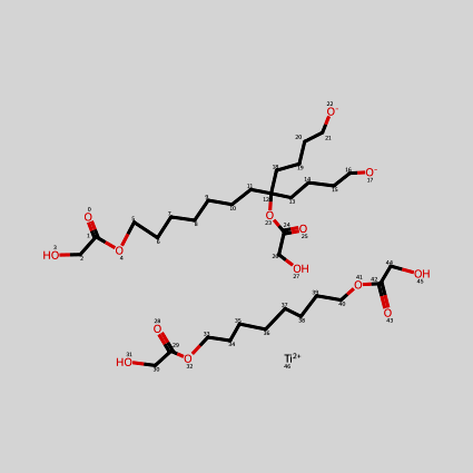 O=C(CO)OCCCCCCCC(CCCC[O-])(CCCC[O-])OC(=O)CO.O=C(CO)OCCCCCCCCOC(=O)CO.[Ti+2]